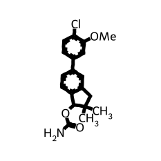 COc1cc(-c2ccc3c(c2)CC(C)(C)C3OC(N)=O)ccc1Cl